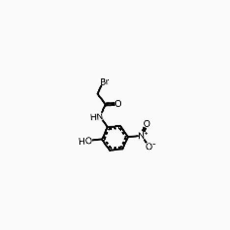 O=C(CBr)Nc1cc([N+](=O)[O-])ccc1O